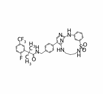 CC(C)(C(=O)NCc1ccc(-c2cnc3nc2NCCCNS(=O)(=O)c2cccc(c2)N3)cc1)c1cc(C(F)(F)F)ccc1F